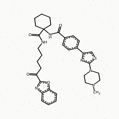 CN1CCN(c2nc(-c3ccc(C(=O)NC4(C(=O)NCCCCC(=O)c5nc6ccccc6o5)CCCCC4)cc3)cs2)CC1